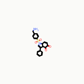 NCc1ccc(S(=O)(=O)N2C=C(c3ccccc3)C3C(=O)C(=O)C=CC32)cc1